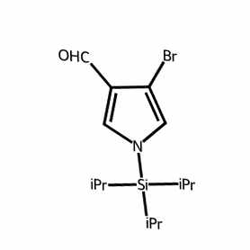 CC(C)[Si](C(C)C)(C(C)C)n1cc(Br)c(C=O)c1